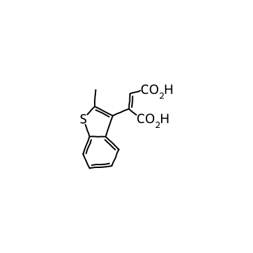 Cc1sc2ccccc2c1/C(=C/C(=O)O)C(=O)O